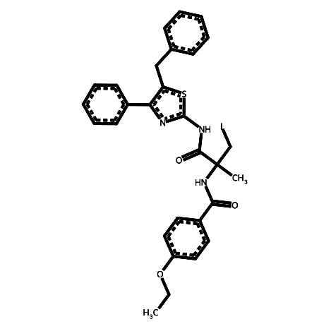 CCOc1ccc(C(=O)NC(C)(CI)C(=O)Nc2nc(-c3ccccc3)c(Cc3ccccc3)s2)cc1